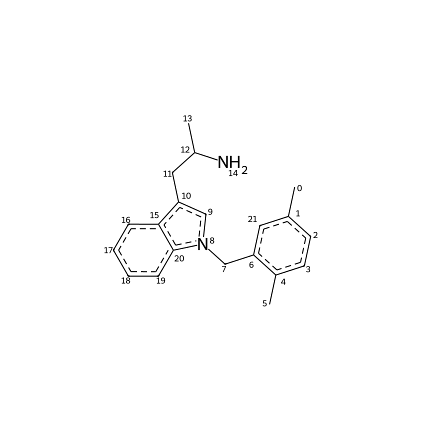 Cc1ccc(C)c(Cn2cc(CC(C)N)c3ccccc32)c1